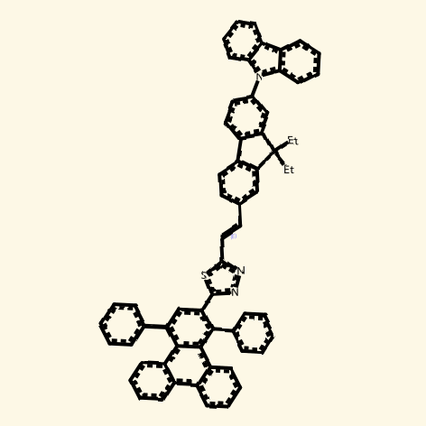 CCC1(CC)c2cc(/C=C/c3nnc(-c4cc(-c5ccccc5)c5c6ccccc6c6ccccc6c5c4-c4ccccc4)s3)ccc2-c2ccc(-n3c4ccccc4c4ccccc43)cc21